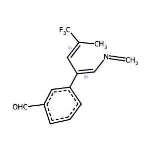 C=N/C=C(\C=C(/C)C(F)(F)F)c1cccc(C=O)c1